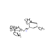 COc1ccc(C)cc1/C=C/CCCC(C)(C)OC